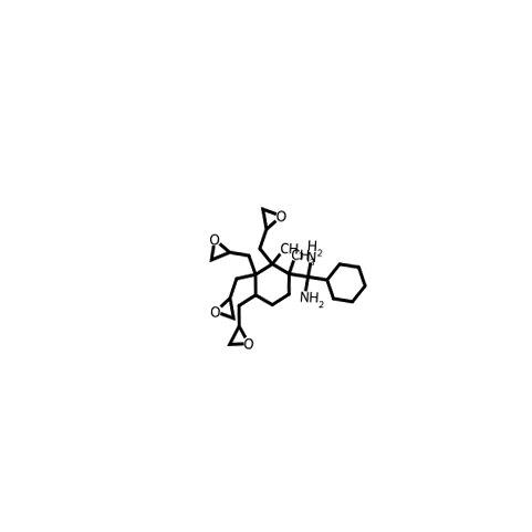 CC1(C(N)(N)C2CCCCC2)CCC(CC2CO2)C(CC2CO2)(CC2CO2)C1(C)CC1CO1